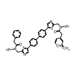 C=C/C=C(\C=C/C)CC(=O)N(CCC)Cc1ncc(-c2ccc(-c3ccc(-c4cnc(CN(CCC)C(=O)Cc5ccccc5)s4)cc3)cc2)s1